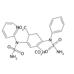 NS(=O)(=O)N(C1=CC(C(=O)O)=C(N(c2ccccc2)S(N)(=O)=O)CC1C(=O)O)c1ccccc1